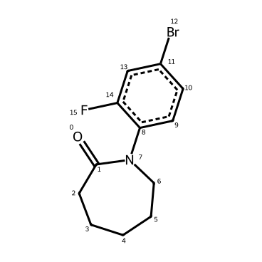 O=C1CCCCCN1c1ccc(Br)cc1F